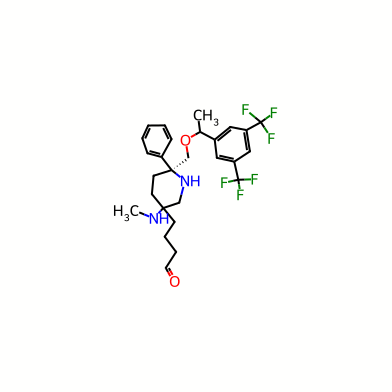 CNC1(CCCC=O)CC[C@@](COC(C)c2cc(C(F)(F)F)cc(C(F)(F)F)c2)(c2ccccc2)NC1